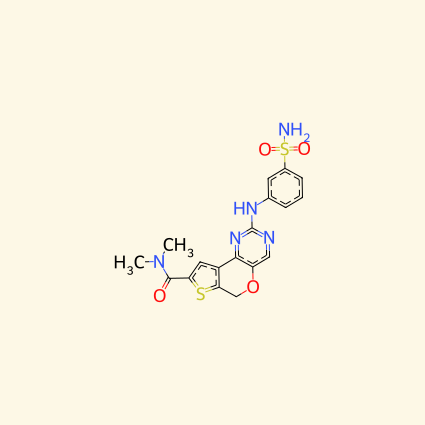 CN(C)C(=O)c1cc2c(s1)COc1cnc(Nc3cccc(S(N)(=O)=O)c3)nc1-2